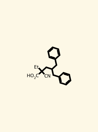 CCC(C#N)(CC(Cc1ccccc1)Cc1ccccc1)C(=O)O